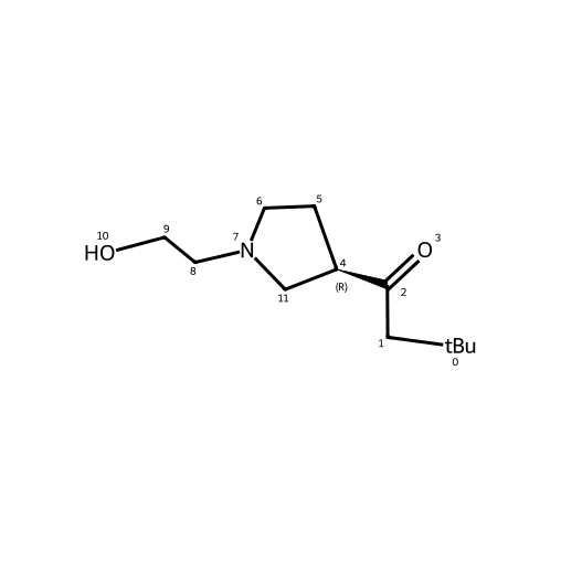 CC(C)(C)CC(=O)[C@@H]1CCN(CCO)C1